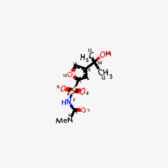 CNC(=O)NS(=O)(=O)c1cc(C(C)(C)O)co1